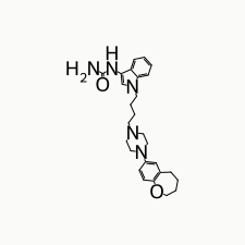 NC(=O)Nc1cn(CCCCN2CCN(c3ccc4c(c3)CCCCO4)CC2)c2ccccc12